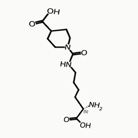 N[C@@H](CCCCNC(=O)N1CCC(C(=O)O)CC1)C(=O)O